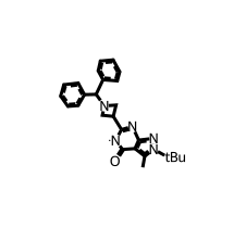 Cc1c2c(nn1C(C)(C)C)N=C(C1CN(C(c3ccccc3)c3ccccc3)C1)[N]C2=O